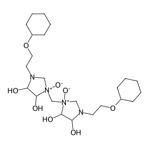 [O-][N+]1(C[N+]2([O-])CN(CCOC3CCCCC3)C(O)C2O)CN(CCOC2CCCCC2)C(O)C1O